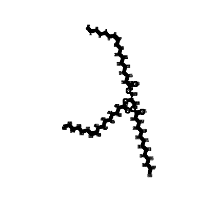 CCCCCC/C=C\CCCCCCCCCC(=O)OC[C@H](COC(=O)CCCCCCCCCCCCC)OC(=O)CCCCCCC/C=C\CCCCCC